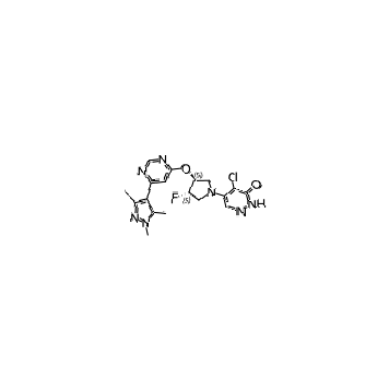 Cc1nn(C)c(C)c1-c1cc(O[C@H]2CN(c3cn[nH]c(=O)c3Cl)C[C@@H]2F)ncn1